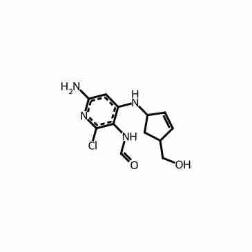 Nc1cc(NC2C=CC(CO)C2)c(NC=O)c(Cl)n1